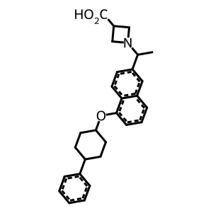 CC(c1ccc2c(OC3CCC(c4ccccc4)CC3)cccc2c1)N1CC(C(=O)O)C1